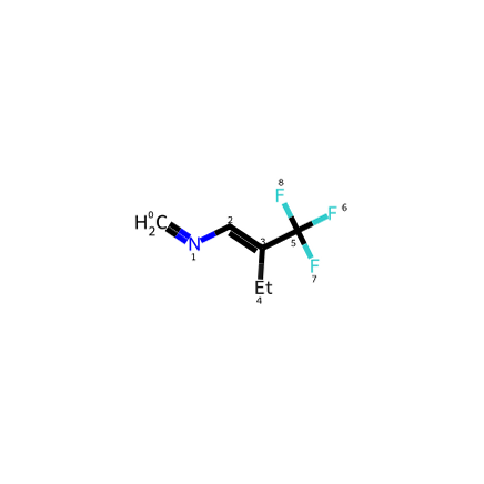 C=N/C=C(\CC)C(F)(F)F